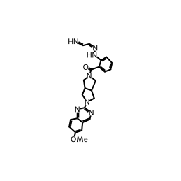 COc1ccc2nc(N3CC4CN(C(=O)c5ccccc5N/N=C\C=N)CC4C3)ncc2c1